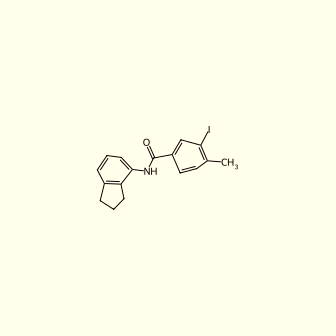 Cc1ccc(C(=O)Nc2cccc3c2CCC3)cc1I